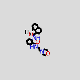 CC12C=CC=CC1C=CC=C2C(=O)Nc1ccccc1C(=O)NCCN1CCOCC1